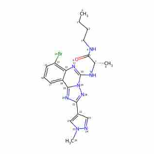 CCCCNC(=O)[C@H](C)Nc1nc2c(Br)cccc2c2nc(-c3cnn(C)c3)nn12